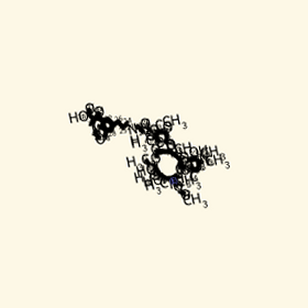 CC[C@H]1OC(=O)[C@H](C)[C@@H](O[C@H]2C[C@@](C)(OC)[C@@H](OS(=O)(=O)CCNCCCc3cc4c5c(c3)c(=O)c(C(=O)O)cn5COC4)[C@H](C)O2)[C@H](C)[C@@H](O[C@@H]2O[C@H](C)C[C@H](N(C)C)[C@H]2O)[C@](C)(O)C[C@@H](C)/C(=N\OCOC)[C@H](C)[C@@H](O)[C@]1(C)O